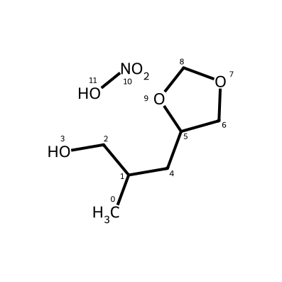 CC(CO)CC1COCO1.O=[N+]([O-])O